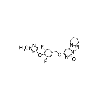 Cn1cc(Oc2c(F)cc(COc3cc4n(c(=O)n3)C[C@@H]3CCCCN43)cc2F)cn1